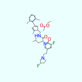 CCOC(=O)C[C@H](NC(=O)C(CC(C)C)n1cc(CCN2CC[C@@H](F)C2)cc(F)c1=O)C1C=C(c2c(C)cccc2C)C=C1C